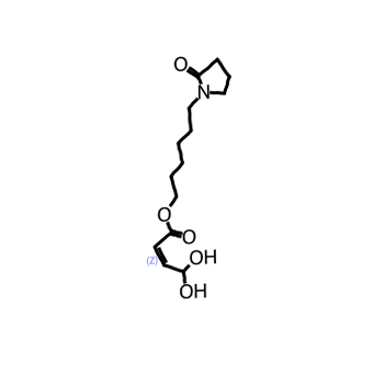 O=C(/C=C\C(O)O)OCCCCCCN1CCCC1=O